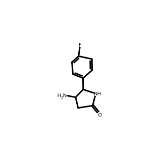 NC1CC(=O)NC1c1ccc(F)cc1